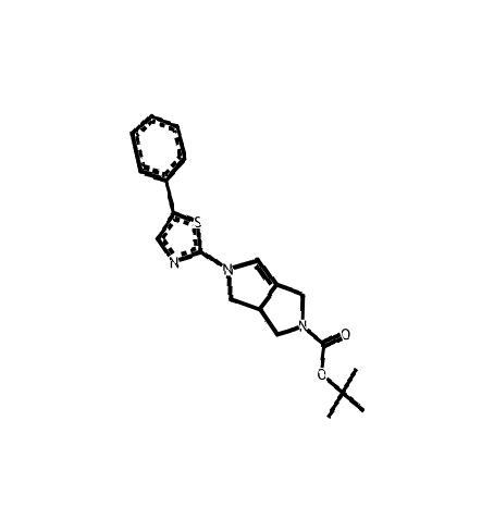 CC(C)(C)OC(=O)N1CC2=CN(c3ncc(-c4ccccc4)s3)CC2C1